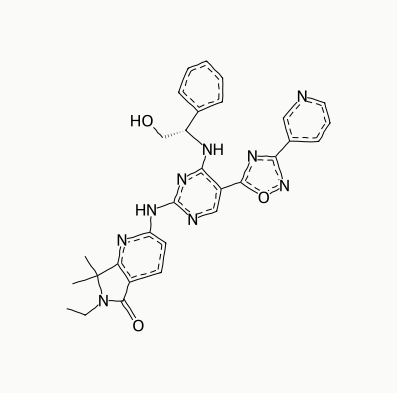 CCN1C(=O)c2ccc(Nc3ncc(-c4nc(-c5cccnc5)no4)c(N[C@H](CO)c4ccccc4)n3)nc2C1(C)C